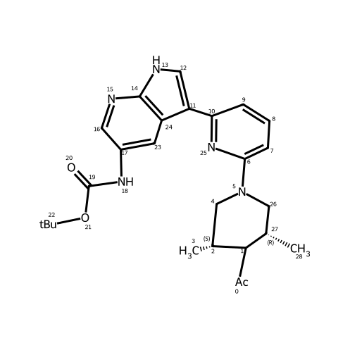 CC(=O)C1[C@H](C)CN(c2cccc(-c3c[nH]c4ncc(NC(=O)OC(C)(C)C)cc34)n2)C[C@@H]1C